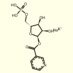 O=C(O[C@H]1O[C@H](COP(=O)(O)O)[C@@H](O)[C@H]1O)c1cccnc1.[K+].[Na+]